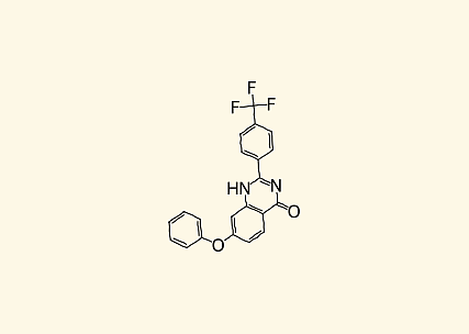 O=c1nc(-c2ccc(C(F)(F)F)cc2)[nH]c2cc(Oc3ccccc3)ccc12